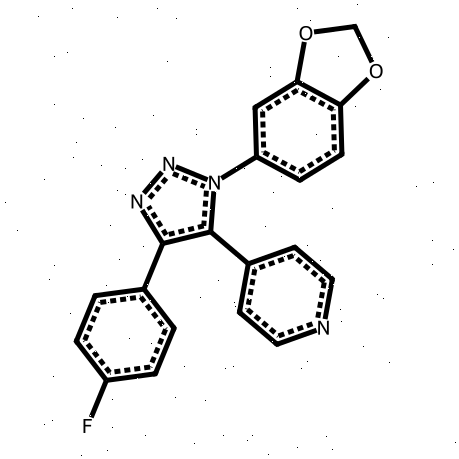 Fc1ccc(-c2nnn(-c3ccc4c(c3)OCO4)c2-c2ccncc2)cc1